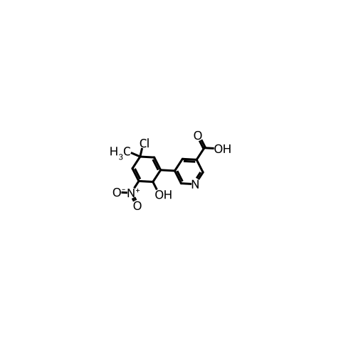 CC1(Cl)C=C(c2cncc(C(=O)O)c2)C(O)C([N+](=O)[O-])=C1